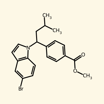 COC(=O)c1ccc(C(CC(C)C)n2ccc3cc(Br)ccc32)cc1